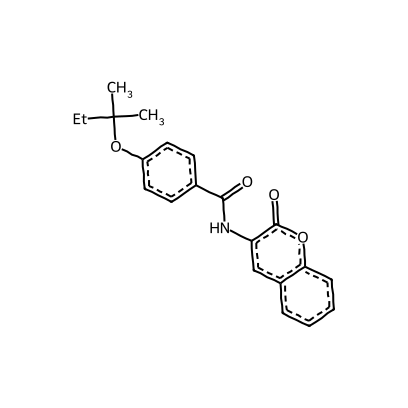 CCC(C)(C)Oc1ccc(C(=O)Nc2cc3ccccc3oc2=O)cc1